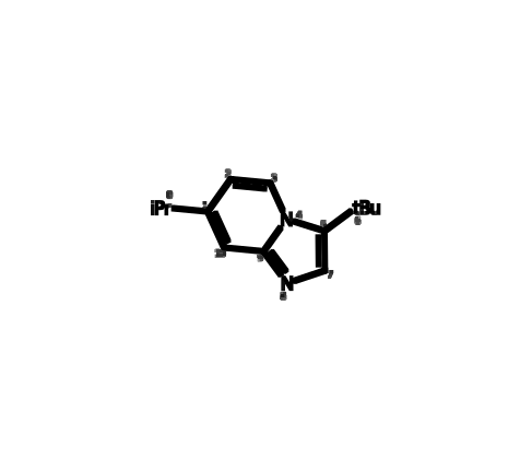 CC(C)c1ccn2c(C(C)(C)C)cnc2c1